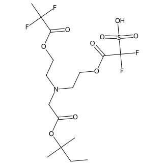 CCC(C)(C)OC(=O)CN(CCOC(=O)C(C)(F)F)CCOC(=O)C(F)(F)S(=O)(=O)O